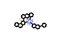 c1ccc(-c2ccc3ccc(-c4nc(-c5ccccc5)nc(-c5cc6ccc7ccccc7c6c6sc7ccc8ccccc8c7c56)n4)cc3c2)cc1